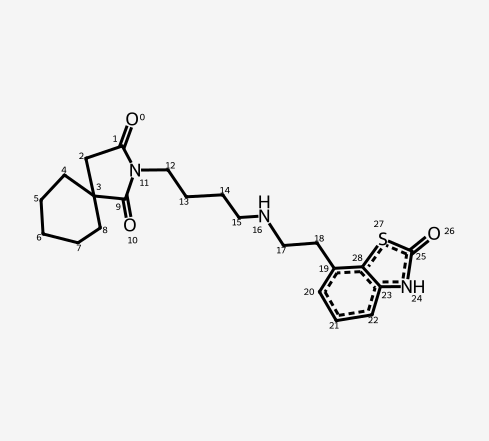 O=C1CC2(CCCCC2)C(=O)N1CCCCNCCc1cccc2[nH]c(=O)sc12